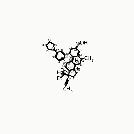 CC#C[C@]1(C(=O)CC)CC[C@H]2[C@@H]3CC(C)C4=CC(=NO)CCC4=C3[C@@H](c3ccc(N4CCCC4)cc3)C[C@@]21C